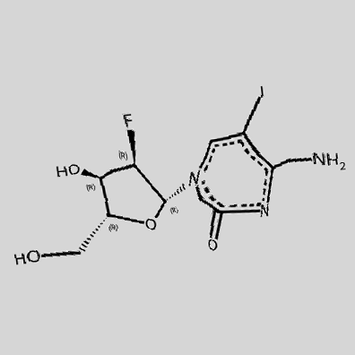 Nc1nc(=O)n([C@@H]2O[C@H](CO)[C@@H](O)[C@H]2F)cc1I